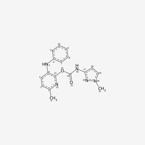 Cc1ccc(Nc2ccccc2)c(OC(=O)Nc2ccn(C)n2)n1